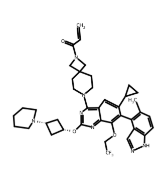 C=CC(=O)N1CC2(CCN(c3nc(O[C@H]4C[C@@H](N5CCCCC5)C4)nc4c(OCC(F)(F)F)c(-c5c(C)ccc6[nH]ncc56)c(C5CC5)cc34)CC2)C1